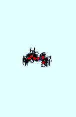 O=C(NC1(CSCC(F)(F)F)CC1)c1ccc(/C=C/C(c2cc(Cl)c(Cl)c(Cl)c2)C(F)(F)F)cc1C(F)(F)F